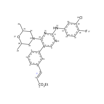 CCOC(=O)/C=C/c1cccc(-c2cnc(Nc3ccc(F)c(Cl)c3)nc2N2CC(C)OC(C)C2)c1